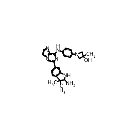 CC1(O)CN(c2ccc(Nc3nc(-c4ccc5c(c4)NC(N)C5(C)C)cn4ccnc34)cc2)C1